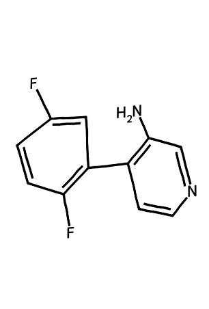 Nc1cnccc1-c1cc(F)ccc1F